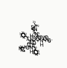 CN/C(=C\[N+](=O)[O-])NCC[C@H](NC(=O)N(C)Cc1csc(C(C)C)n1)C(=O)N[C@H](CCc1ccccc1)CC[C@@H](Cc1ccccc1)NC(=O)OCc1cncs1